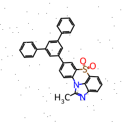 Cc1nc2cccc3c2n1-c1ccc(-c2cc(-c4ccccc4)cc(-c4ccccc4)c2)cc1S3(=O)=O